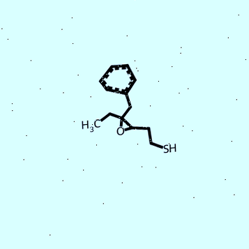 CCC1(Cc2ccccc2)OC1CCS